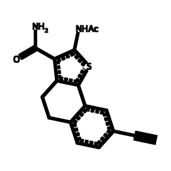 C#Cc1ccc2c(c1)-c1sc(NC(C)=O)c(C(N)=O)c1CC2